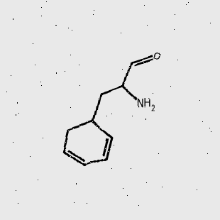 NC(C=O)CC1C=CC=CC1